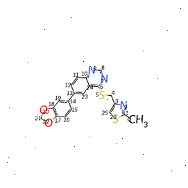 Cc1nc(CSc2ncnc3ccc(-c4ccc5c(c4)OCO5)cc23)cs1